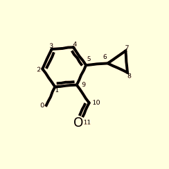 Cc1cccc(C2CC2)c1C=O